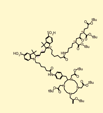 C=C(CN1CCN(CC(=O)OC(C)(C)C)CCN(CC(=O)OC(C)(C)C)C(Cc2ccc(NC(=O)CCCCCN3/C(=C/C=C/C4=[N+](CCCCCC(=O)NCCCC[C@@H](CC(=O)C[C@@H](CCC(=O)OC(C)(C)C)C(=O)OC(C)(C)C)C(=O)OC(C)(C)C)c5ccc(S(=O)(=O)O)cc5C4(C)C)C(C)(C)c4cc(S(=O)(=O)O)ccc43)cc2)CN(CC(=O)OC(C)(C)C)CC1)OC(C)(C)C